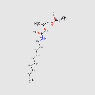 C=CC(=O)OCC(C)OC(=O)NCCCCCCCCCC